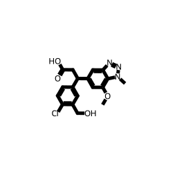 COc1cc(C(CC(=O)O)c2ccc(Cl)c(CO)c2)cc2nnn(C)c12